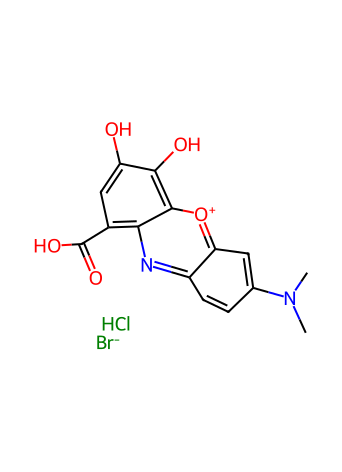 CN(C)c1ccc2nc3c(C(=O)O)cc(O)c(O)c3[o+]c2c1.Cl.[Br-]